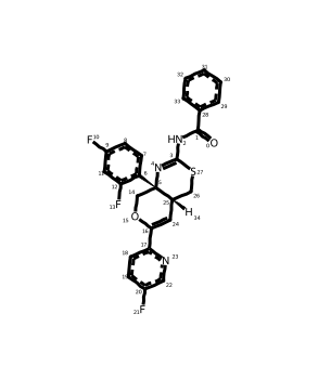 O=C(NC1=N[C@@]2(c3ccc(F)cc3F)COC(c3ccc(F)cn3)=C[C@H]2CS1)c1ccccc1